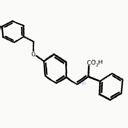 O=C(O)/C(=C\c1ccc(OCc2ccccc2)cc1)c1ccccc1